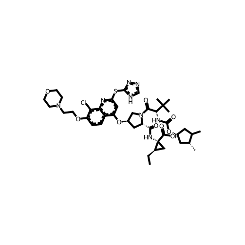 CC[C@@H]1C[C@]1(NC(=O)[C@@H]1C[C@@H](Oc2cc(Sc3nnc[nH]3)nc3c(Cl)c(OCCN4CCOCC4)ccc23)CN1C(=O)[C@@H](NC(=O)O[C@@H]1CC(C)[C@H](C)C1)C(C)(C)C)C(=O)O